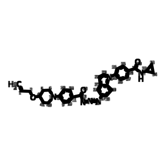 C=CCOC1CCN(c2ccc(C(=O)N=[N+]=Nc3ccc4c(ccn4-c4ccc(C(=O)NC5CC5)cc4)c3)cc2)CC1